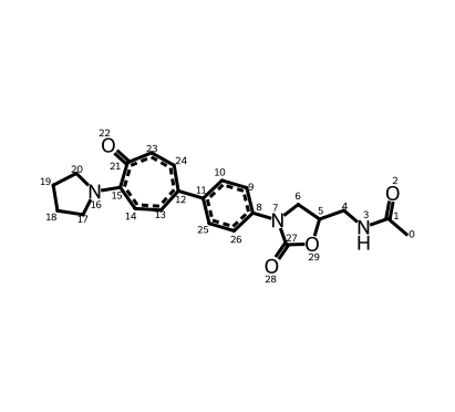 CC(=O)NCC1CN(c2ccc(-c3ccc(N4CCCC4)c(=O)cc3)cc2)C(=O)O1